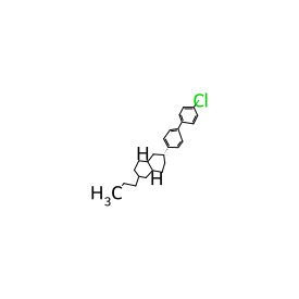 CCCC1CC[C@@H]2C[C@H](c3ccc(-c4ccc(Cl)cc4)cc3)CC[C@@H]2C1